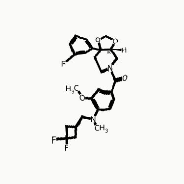 COc1cc(C(=O)N2CCC3(c4cccc(F)c4)OCO[C@@H]3C2)ccc1N(C)CC1CC(F)(F)C1